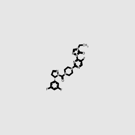 CCn1cnn(-c2nc(N3CCN(C(=O)N4N=CC[C@H]4c4cc(F)cc(F)c4)CC3)ncc2F)c1=O